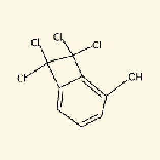 Oc1cccc2c1C(Cl)(Cl)C2(Cl)Cl